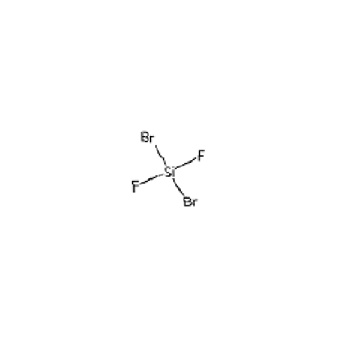 F[Si](F)(Br)Br